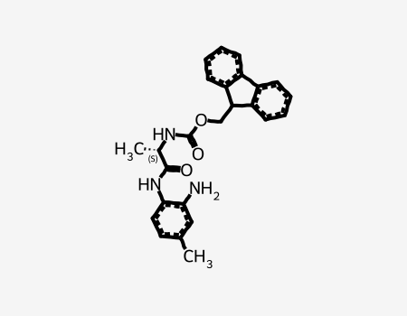 Cc1ccc(NC(=O)[C@H](C)NC(=O)OCC2c3ccccc3-c3ccccc32)c(N)c1